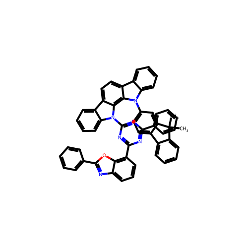 CC1(C)c2ccccc2-c2ccc(-n3c4ccccc4c4ccc5c6ccccc6n(-c6nc(-c7ccccc7)nc(-c7cccc8nc(-c9ccccc9)oc78)n6)c5c43)cc21